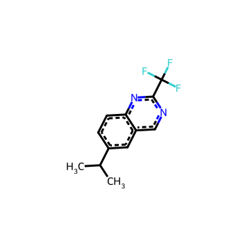 CC(C)c1ccc2nc(C(F)(F)F)ncc2c1